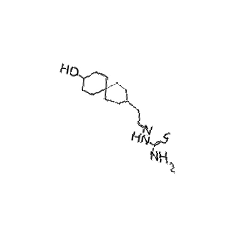 NC(=S)NN=CCC1CCC2(CCC(O)CC2)CC1